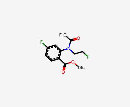 CC(C)(C)OC(=O)c1ccc(F)cc1N(CCF)C(=O)C(F)(F)F